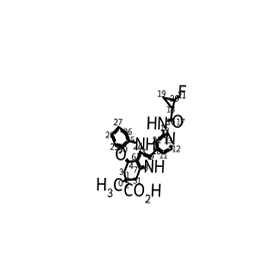 CC1(C(=O)O)CC(=O)c2c([nH]c(-c3ccnc(NC(=O)C4CC4F)c3)c2Nc2ccccc2)C1